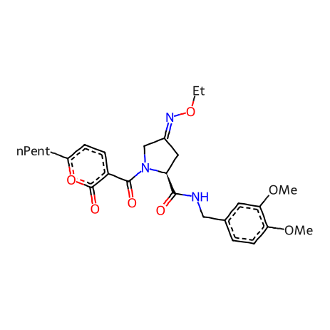 CCCCCc1ccc(C(=O)N2CC(=NOCC)C[C@H]2C(=O)NCc2ccc(OC)c(OC)c2)c(=O)o1